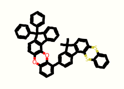 CC1(C)c2cc(-c3cccc4c3Oc3c(ccc5c3-c3ccccc3C5(c3ccccc3)c3ccccc3)O4)ccc2-c2c1ccc1c2Sc2ccccc2S1